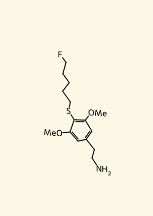 COc1cc(CCN)cc(OC)c1SCCCCCF